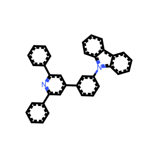 c1ccc(-c2cc(-c3cccc(-n4c5ccccc5c5ccccc54)c3)cc(-c3ccccc3)n2)cc1